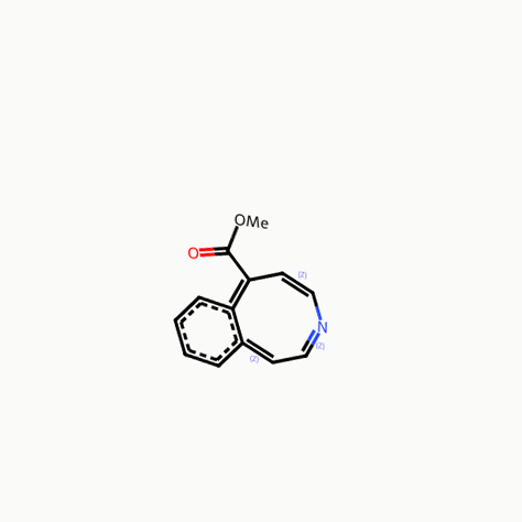 COC(=O)C1=c2cccc/c2=C/C=N\C=C/1